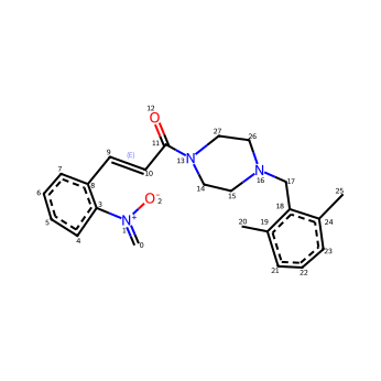 C=[N+]([O-])c1ccccc1/C=C/C(=O)N1CCN(Cc2c(C)cccc2C)CC1